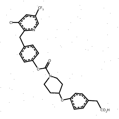 O=C(O)Cc1ccc(OC2CCN(C(=O)Oc3ccc(Cc4ncc(C(F)(F)F)cc4Cl)cc3)CC2)cc1